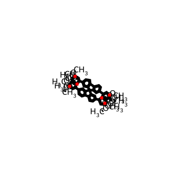 COc1cc(-c2ccc3c(c2)C2(c4cc(-c5cc(OC)c(OC)c(OC)c5)ccc4-3)c3cc(-c4cc(OC)c(OC)c(OC)c4)ccc3-c3ccc(-c4cc(OC)c(OC)c(OC)c4)cc32)cc(OC)c1OC